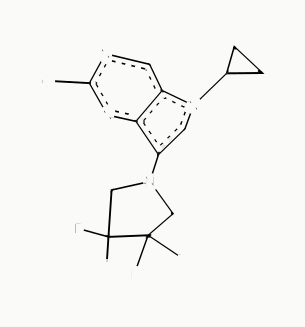 FC1(F)CN(c2cn(C3CC3)c3cnc(Cl)nc23)CC1(F)F